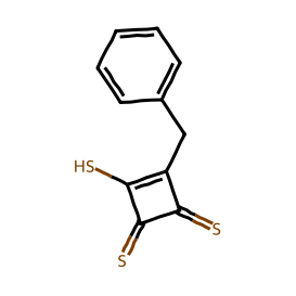 S=c1c(S)c(Cc2ccccc2)c1=S